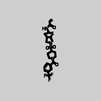 C=CC(=O)NC1CC2CN(S(=O)(=O)C3CCN(C(=O)c4cccc(C(F)(F)F)c4)CC3)CC2S1